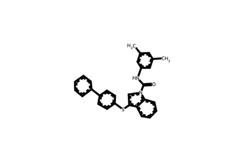 Cc1cc(C)cc(NC(=O)n2cc(Sc3ccc(-c4ccccc4)cc3)c3ccccc32)c1